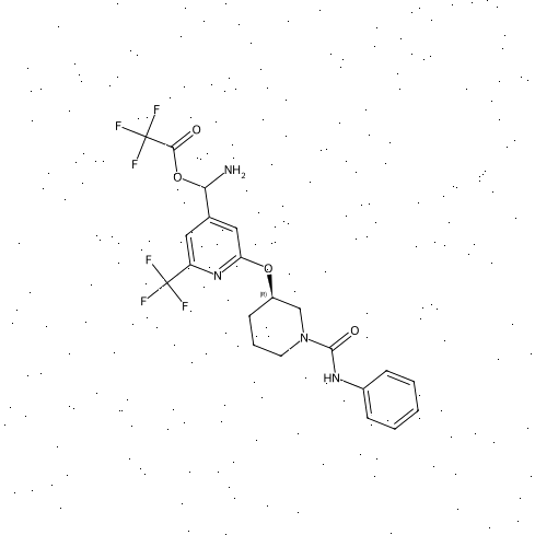 NC(OC(=O)C(F)(F)F)c1cc(O[C@@H]2CCCN(C(=O)Nc3ccccc3)C2)nc(C(F)(F)F)c1